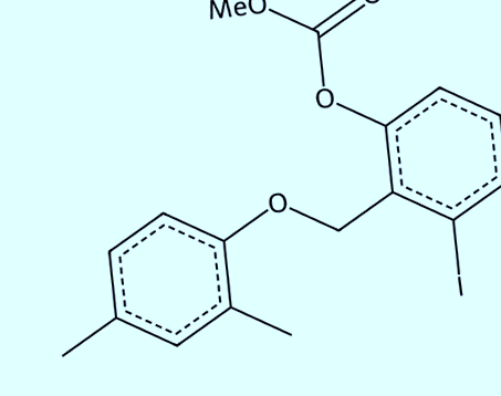 COC(=O)Oc1cccc(I)c1COc1ccc(C)cc1C